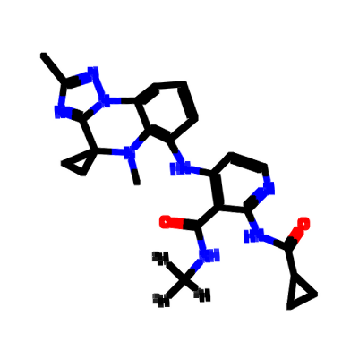 [2H]C([2H])([2H])NC(=O)c1c(Nc2cccc3c2N(C)C2(CC2)c2nc(C)nn2-3)ccnc1NC(=O)C1CC1